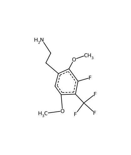 COc1cc(CCN)c(OC)c(F)c1C(F)(F)F